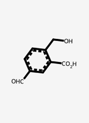 O=Cc1ccc(CO)c(C(=O)O)c1